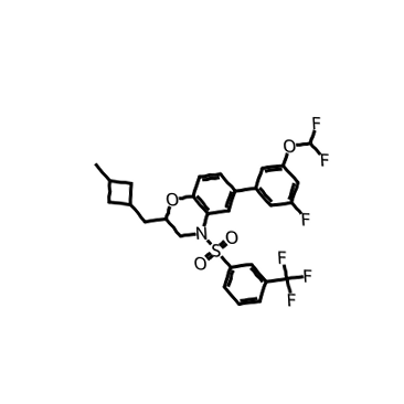 CC1CC(CC2CN(S(=O)(=O)c3cccc(C(F)(F)F)c3)c3cc(-c4cc(F)cc(OC(F)F)c4)ccc3O2)C1